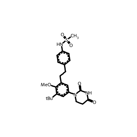 COc1c(CCc2ccc(NS(C)(=O)=O)cc2)cc(N2CCC(=O)NC2=O)cc1C(C)(C)C